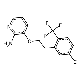 Nc1ncccc1OCCc1cc(Cl)ccc1C(F)(F)F